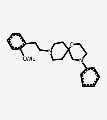 COc1ccccc1CCN1CCC2(CC1)CN(c1ccccc1)CCO2